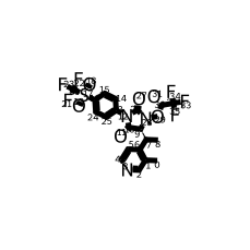 Cc1cnccc1C(C)[C@@H]1C(=O)N(c2ccc(S(=O)(=O)C(F)(F)F)cc2)C(=O)N1OC(=O)C(F)(F)F